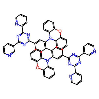 c1ccc(-c2nc(-c3cccnc3)nc(-c3ccc(-c4ccc(-c5nc(-c6cccnc6)nc(-c6ccccn6)n5)cc4N4c5ccccc5Oc5ccccc54)c(N4c5ccccc5Oc5ccccc54)c3)n2)nc1